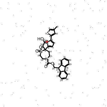 Cc1csc(-c2ccc(C3(CC(=O)O)CCN(C(=O)OCC4c5ccccc5-c5ccccc54)CCS3(=O)=O)s2)c1